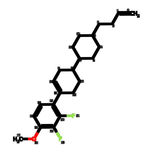 C=CCCC1CCC(C2CC=C(c3ccc(OC)c(F)c3F)CC2)CC1